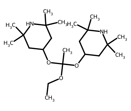 CCOC(C)(OC1CC(C)(C)NC(C)(C)C1)OC1CC(C)(C)NC(C)(C)C1